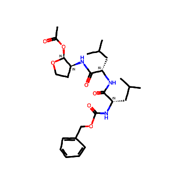 CC(=O)O[C@@H]1OCC[C@@H]1NC(=O)[C@H](CC(C)C)NC(=O)[C@H](CC(C)C)NC(=O)OCc1ccccc1